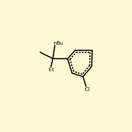 CCCCC(C)(CC)c1cccc(Cl)c1